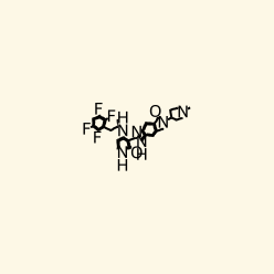 C[C@H](Cc1c(F)c(F)cc(F)c1F)Nc1cc[nH]c(=O)c1-c1nc2cc3c(cc2[nH]1)CN(C1CCN(C)CC1)C3=O